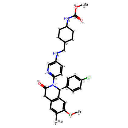 COc1cc2c(cc1OC(C)C)[C@H](c1ccc(Cl)cc1)N(c1ccc(NCC3CCC(NC(=O)OC(C)(C)C)CC3)cn1)C(=O)C2